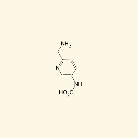 NCc1ccc(NC(=O)O)cn1